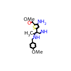 COC(=O)c1sc(/C(C=N)=C(\C)NCc2ccc(OC)cc2)cc1N